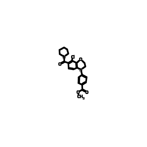 COC(=O)c1ccc(N2CCOc3c2ccc(C(=O)N2CCCCC2)c3Cl)cc1